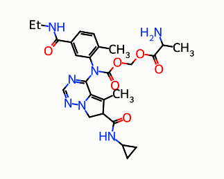 CCNC(=O)c1ccc(C)c(N(C(=O)OCOC(=O)C(C)N)C2=NC=NN3CC(C(=O)NC4CC4)C(C)=C23)c1